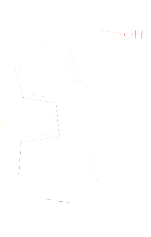 OCc1ccc2sc3c(c2c1)CCCCC3